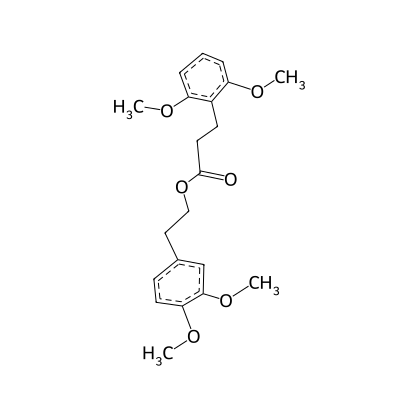 COc1ccc(CCOC(=O)CCc2c(OC)cccc2OC)cc1OC